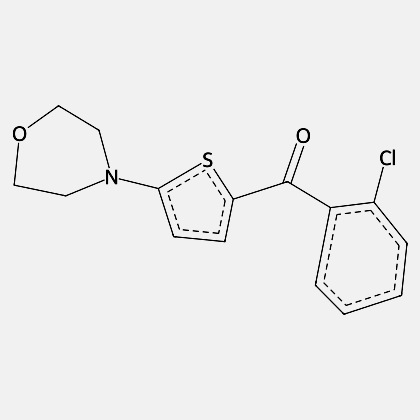 O=C(c1ccc(N2CCOCC2)s1)c1ccccc1Cl